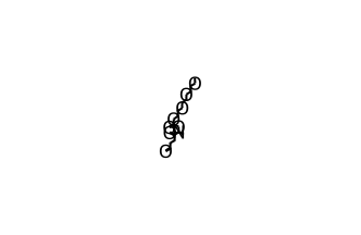 COCCOCCOCCOC(=O)ON(C)C(=O)CCC=O